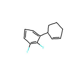 Fc1cccc(C2C=CCCC2)c1F